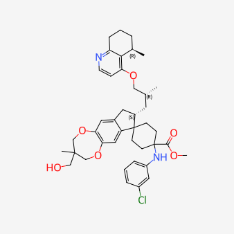 COC(=O)C1(Nc2cccc(Cl)c2)CCC2(CC1)c1cc3c(cc1C[C@@H]2C[C@@H](C)COc1ccnc2c1[C@H](C)CCC2)OCC(C)(CO)CO3